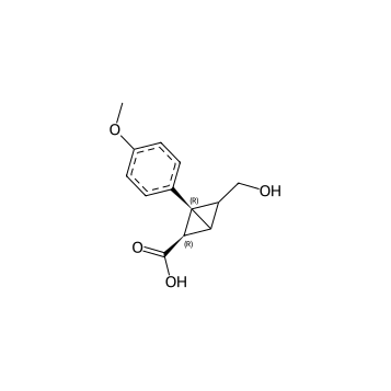 COc1ccc([C@@]23C(CO)C2[C@H]3C(=O)O)cc1